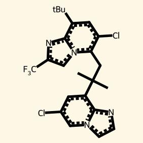 CC(C)(C)c1cc(Cl)c(CC(C)(C)c2cc(Cl)cn3ccnc23)n2cc(C(F)(F)F)nc12